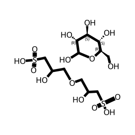 O=S(=O)(O)CC(O)COCC(O)CS(=O)(=O)O.OC[C@H]1OC(O)[C@H](O)[C@@H](O)[C@@H]1O